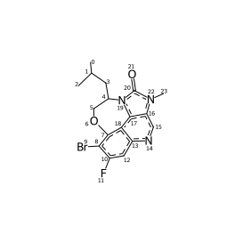 CC(C)CC1COc2c(Br)c(F)cc3ncc4c(c23)n1c(=O)n4C